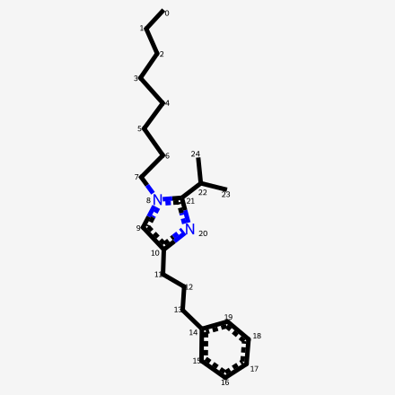 CCCCCCCCn1cc(CCCc2ccccc2)nc1C(C)C